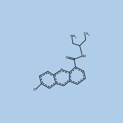 CCC(CN)NC(=O)c1cccc2cc3cc(Cl)ccc3nc12